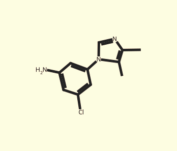 Cc1ncn(-c2cc(N)cc(Cl)c2)c1C